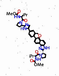 COC(=O)NC(C(=O)N1CCCC1c1ncc(-c2ccc3c(c2)COc2c-3ccc3c2ccc2[nH]c([C@@H]4CCCN4C(=O)[C@@H](NC(=O)OC)C(C)C)nc23)[nH]1)C(C)C